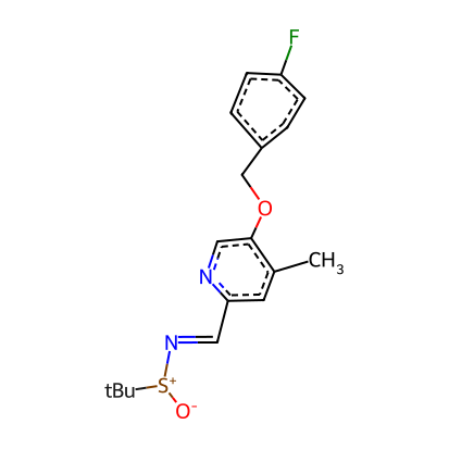 Cc1cc(C=N[S+]([O-])C(C)(C)C)ncc1OCc1ccc(F)cc1